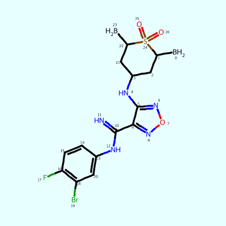 BC1CC(Nc2nonc2C(=N)Nc2ccc(F)c(Br)c2)CC(B)S1(=O)=O